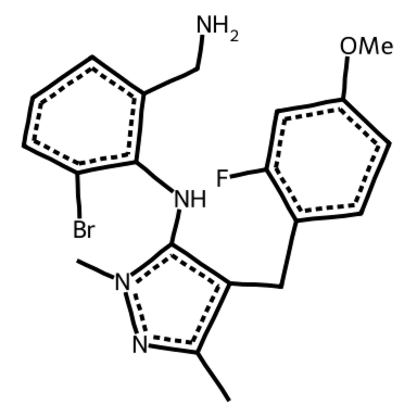 COc1ccc(Cc2c(C)nn(C)c2Nc2c(Br)cccc2CN)c(F)c1